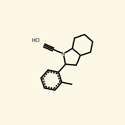 C#CN1C(c2ccccc2C)CC2CCCCC21.Cl